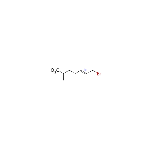 CC(CC/C=C/CBr)C(=O)O